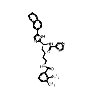 Cc1cccc(C(=O)NCCCC[C@H](NC(=O)c2cncs2)c2ncc(-c3ccc4ccccc4c3)[nH]2)c1N